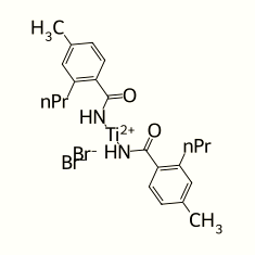 CCCc1cc(C)ccc1C(=O)[NH][Ti+2][NH]C(=O)c1ccc(C)cc1CCC.[Br-].[Br-]